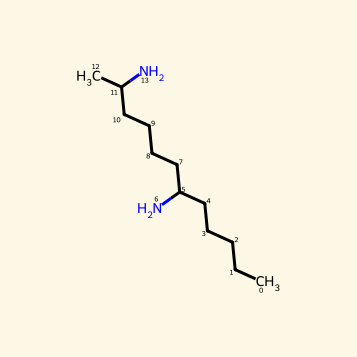 CCCCCC(N)CCCCC(C)N